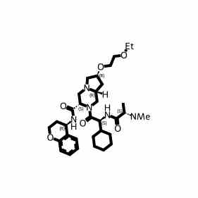 CCOCCO[C@@H]1C[C@@H]2CN(C(=O)[C@@H](NC(=O)[C@H](C)NC)C3CCCCC3)[C@H](C(=O)N[C@@H]3CCOc4ccccc43)CN2C1